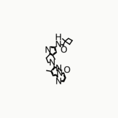 Cc1cc2nccc(=O)n2nc1N1CCc2ncc(NC(=O)C3(C)CCC3)cc2C1